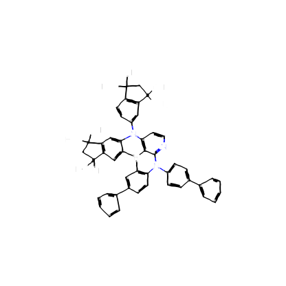 CC1(C)CC(C)(C)c2cc(N3c4cc5c(cc4B4c6cc(-c7ccccc7)ccc6N(c6ccc(-c7ccccc7)cc6)c6nccc3c64)C(C)(C)CC5(C)C)ccc21